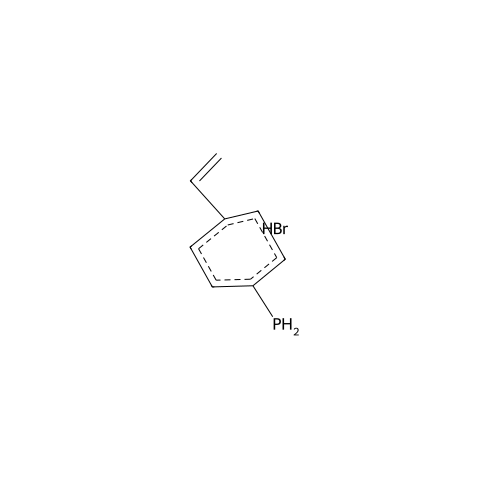 Br.C=Cc1ccc(P)cc1